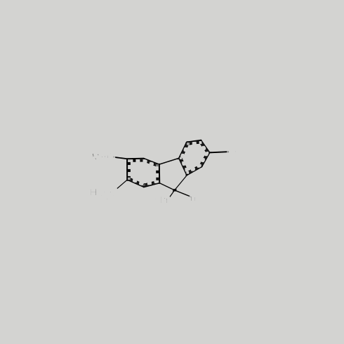 CCCC1(CCC)c2cc(C(=O)O)ccc2-c2cc(OC)c(C(=O)O)cc21